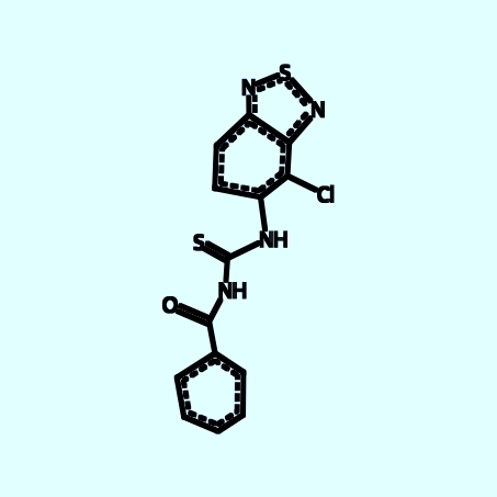 O=C(NC(=S)Nc1ccc2nsnc2c1Cl)c1ccccc1